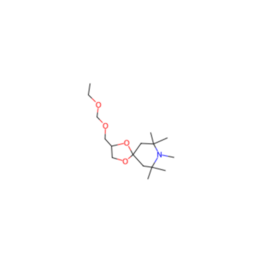 CCOCOCC1COC2(CC(C)(C)N(C)C(C)(C)C2)O1